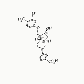 CCc1cc(OC[C@@H]2[C@H]3CC[C@H](c4nc(C(=O)O)cs4)C[C@H]3C[C@@H]2O)ccc1C